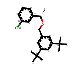 C[C@H](OCc1cc(C(C)(C)C)cc(C(C)(C)C)c1)c1cccc(Cl)c1